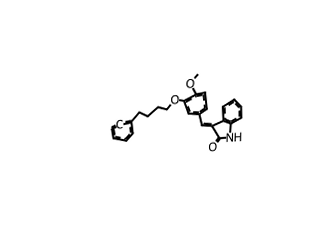 COc1ccc(/C=C2/C(=O)Nc3ccccc32)cc1OCCCCc1ccccc1